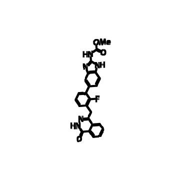 COC(=O)Nc1nc2cc(-c3cccc(Cc4n[nH]c(=O)c5ccccc45)c3F)ccc2[nH]1